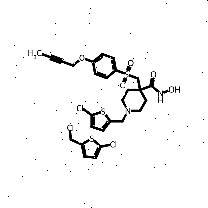 CC#CCOc1ccc(S(=O)(=O)CC2(C(=O)NO)CCN(Cc3ccc(Cl)s3)CC2)cc1.ClCc1ccc(Cl)s1